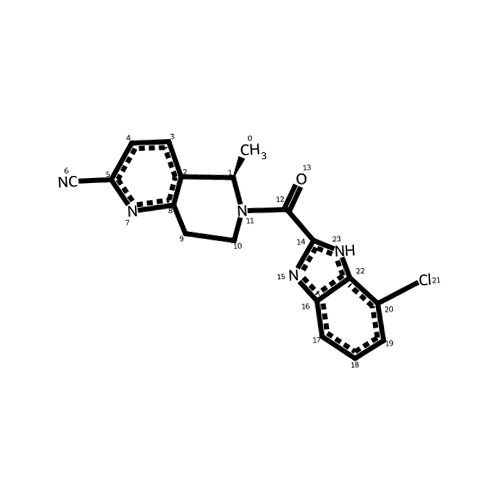 C[C@@H]1c2ccc(C#N)nc2CCN1C(=O)c1nc2cccc(Cl)c2[nH]1